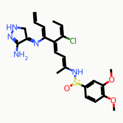 C=C/C=C(\N=C1/CNN=C1N)C(=C/C=C(\C)N[S+]([O-])c1ccc(OC)c(OC)c1)/C(Cl)=C\C